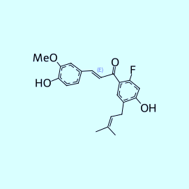 COc1cc(/C=C/C(=O)c2cc(CC=C(C)C)c(O)cc2F)ccc1O